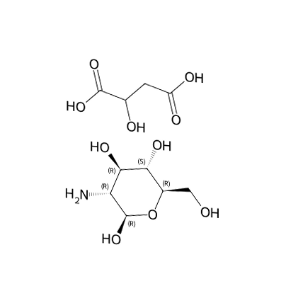 N[C@@H]1[C@@H](O)[C@H](O)[C@@H](CO)O[C@H]1O.O=C(O)CC(O)C(=O)O